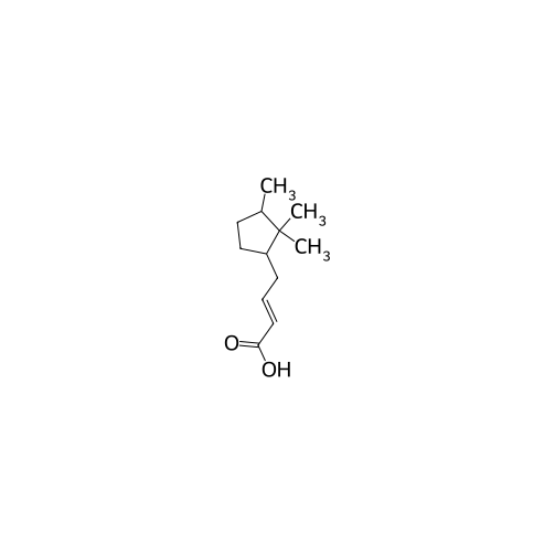 CC1CCC(CC=CC(=O)O)C1(C)C